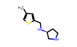 Cc1csc(CN[C@H]2CCNC2)c1